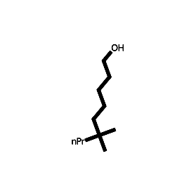 CCCC(C)(C)CCCCCO